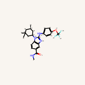 CNC(=O)c1ccc2c(c1)nc(Nc1ccc(OC(F)(F)F)cc1)n2C1C[C@H](C)CC(C)(C)C1